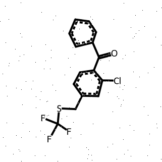 O=C(c1ccccc1)c1ccc(CSC(F)(F)F)cc1Cl